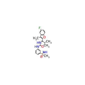 Cc1c([C@@H](NC(=O)Nc2cccc(S(C)(=N)=O)c2)C(C)C)oc2ccc(F)cc12